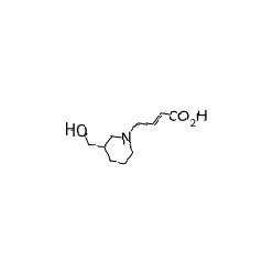 O=C(O)C=CCN1CCCC(CO)C1